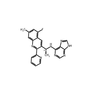 Cc1cc(F)c2cc([C@H](C)Nc3ncnc4[nH]cnc34)c(-c3ccccn3)nc2c1